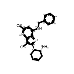 N[C@@H]1CC=CC[C@H]1c1sc2c(NCc3ccccc3)cc(Cl)nc2c1Cl